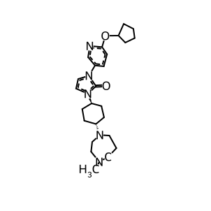 CN1CCCN([C@H]2CC[C@H](n3ccn(-c4ccc(OC5CCCC5)nc4)c3=O)CC2)CC1